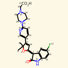 CC1(C)OC(=C2C(=O)Nc3ccc(F)cc32)C=C1c1ccc(N2CCN(CC(=O)O)CC2)nc1